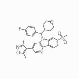 Cc1noc(C)c1-c1cnc2c3ccc(S(C)(=O)=O)cc3n(C(c3ccc(F)cc3)C3CCOCC3)c2c1